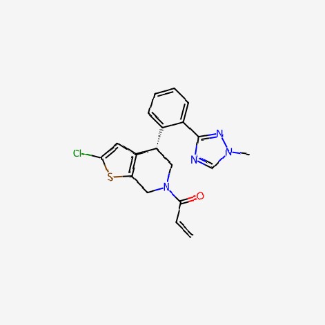 C=CC(=O)N1Cc2sc(Cl)cc2[C@H](c2ccccc2-c2ncn(C)n2)C1